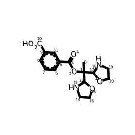 CC(OC(=O)c1cccc(C(=O)O)c1)(C1NCCO1)C1NCCO1